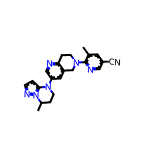 Cc1cc(C#N)cnc1N1CCc2ncc(N3CCC(C)n4nccc43)cc2C1